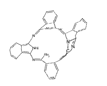 N/C1=N\c2[nH]c(c3ccccc23)/N=C2N=C(/N=c3/c4ccccc4c4n3CC=C(N=4)c3ccccc31)c1ccccc1\2